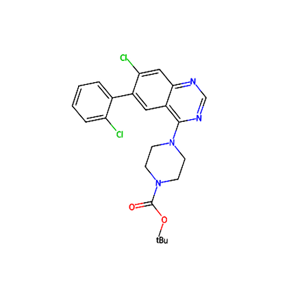 CC(C)(C)OC(=O)N1CCN(c2ncnc3cc(Cl)c(-c4ccccc4Cl)cc23)CC1